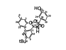 Cc1ccc(-c2nc(C(C)(C)C)ccc2C(=O)NS(=O)(=O)c2cccc(O)c2)cc1